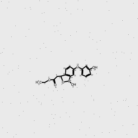 CCOC(=O)CC1OB(O)c2cc(Oc3cccc(O)c3)ccc21